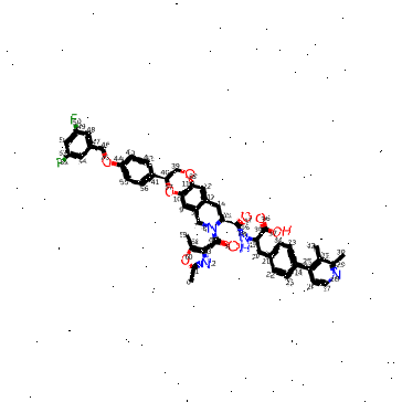 Cc1nc(C(=O)N2Cc3cc4c(cc3C[C@H]2C(=O)NC(Cc2ccc(-c3ccnc(C)c3C)cc2)C(=O)O)OC[C@H](c2ccc(OCc3cc(F)cc(F)c3)cc2)O4)c(C)o1